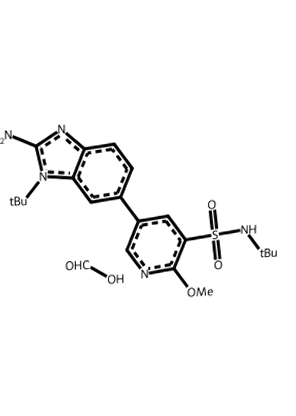 COc1ncc(-c2ccc3nc(N)n(C(C)(C)C)c3c2)cc1S(=O)(=O)NC(C)(C)C.O=CO